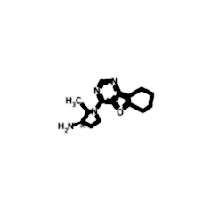 CC1[C@H](N)CCN1c1ncnc2c3c(oc12)CCCC3